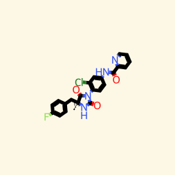 C[C@@]1(Cc2ccc(F)cc2)NC(=O)N(c2ccc(NC(=O)c3ccccn3)cc2Cl)C1=O